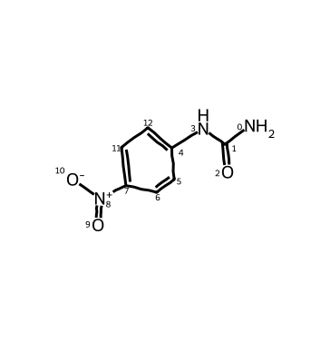 NC(=O)Nc1ccc([N+](=O)[O-])cc1